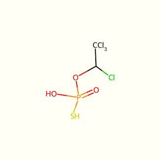 O=P(O)(S)OC(Cl)C(Cl)(Cl)Cl